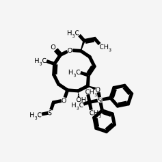 C/C=C(/C)[C@H]1C/C=C(\C)[C@@H](O[Si](c2ccccc2)(c2ccccc2)C(C)(C)C)[C@H](O)C(OCSC)C/C=C(/C)C(=O)O1